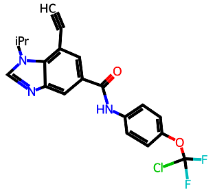 C#Cc1cc(C(=O)Nc2ccc(OC(F)(F)Cl)cc2)cc2ncn(C(C)C)c12